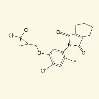 O=C1C2=C(CCCC2)C(=O)N1c1cc(OCC2CC2(Cl)Cl)c(Cl)cc1F